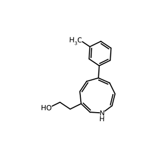 Cc1cccc(-c2ccc[nH]cc(CCO)cc2)c1